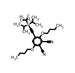 CCCCOc1cc(C#C[Si](C(C)C)(C(C)C)C(C)C)c(OCCCC)c(C#N)c1C#N